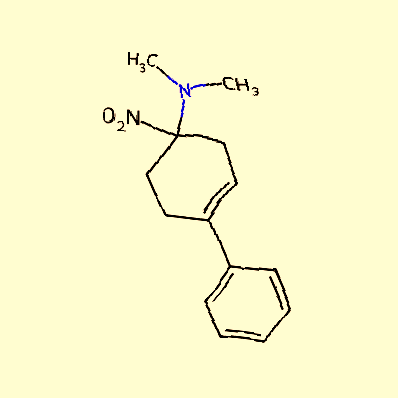 CN(C)C1([N+](=O)[O-])CC=C(c2ccccc2)CC1